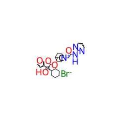 O=C(C[N+]12CCC(CC1)C(OC(=O)[C@](O)(c1ccoc1)C1CCCCC1)C2)Nc1ncccn1.[Br-]